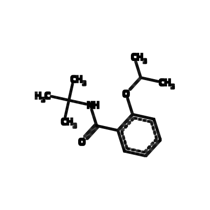 CC(C)Oc1ccccc1C(=O)NC(C)(C)C